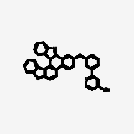 CC(C)(C)c1ccnc(-c2cccc(Oc3ccc4c(c3)c3nc5ccccc5n3c3c4ccc4sc5ccccc5c43)c2)c1